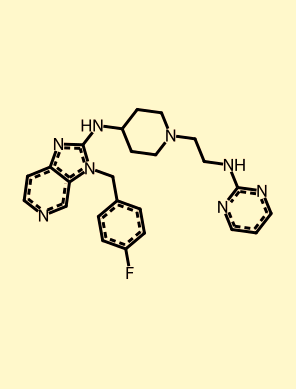 Fc1ccc(Cn2c(NC3CCN(CCNc4ncccn4)CC3)nc3ccncc32)cc1